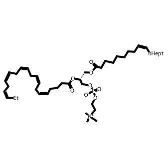 CC/C=C\C/C=C\C/C=C\C/C=C\C/C=C\CCCC(=O)O[C@H](COC(=O)CCCCCCC/C=C\CCCCCCC)COP(=O)([O-])OCC[N+](C)(C)C